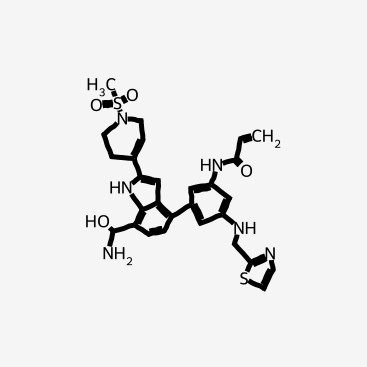 C=CC(=O)Nc1cc(NCc2nccs2)cc(-c2ccc(C(N)O)c3[nH]c(C4=CCN(S(C)(=O)=O)CC4)cc23)c1